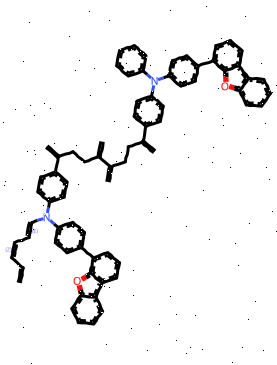 C=C/C=C\C=C\N(c1ccc(C(=C)CCC(=C)C(=C)CCC(=C)c2ccc(N(c3ccccc3)c3ccc(-c4cccc5c4oc4ccccc45)cc3)cc2)cc1)c1ccc(-c2cccc3c2oc2ccccc23)cc1